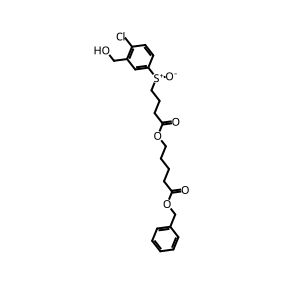 O=C(CCC[S+]([O-])c1ccc(Cl)c(CO)c1)OCCCCC(=O)OCc1ccccc1